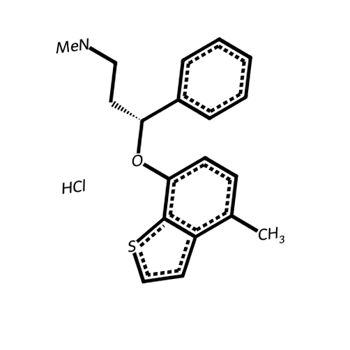 CNCC[C@@H](Oc1ccc(C)c2ccsc12)c1ccccc1.Cl